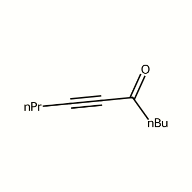 CCCC#CC(=O)CCCC